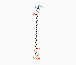 CC(F)(F)COC(=O)CCCCCCCCCCCCCCCCC(=O)OCCS(=O)(=O)O